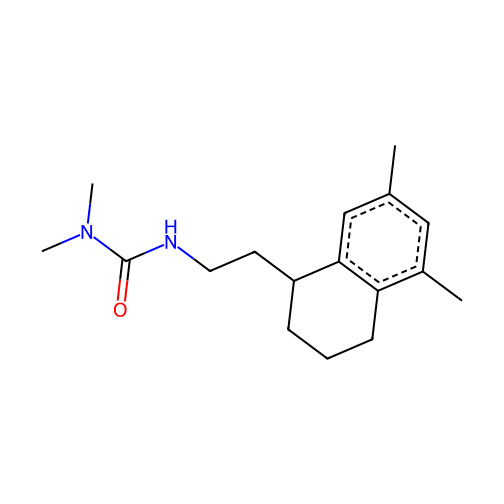 Cc1cc(C)c2c(c1)C(CCNC(=O)N(C)C)CCC2